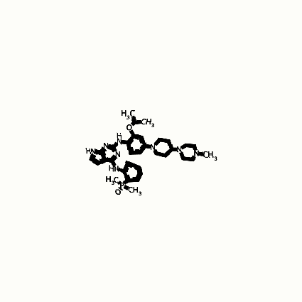 CC(C)Oc1cc(N2CCC(N3CCN(C)CC3)CC2)ccc1Nc1nc(Nc2ccccc2P(C)(C)=O)c2cc[nH]c2n1